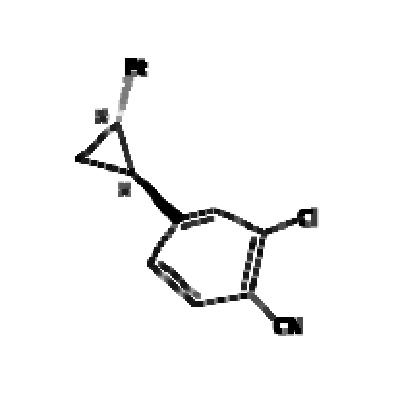 CC[C@H]1C[C@@H]1c1ccc(C#N)c(Cl)c1